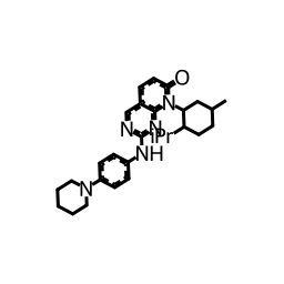 CC1CCC(C(C)C)C(n2c(=O)ccc3cnc(Nc4ccc(N5CCCCC5)cc4)nc32)C1